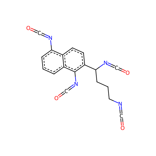 O=C=NCCCC(N=C=O)c1ccc2c(N=C=O)cccc2c1N=C=O